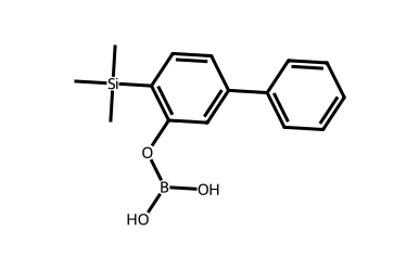 C[Si](C)(C)c1ccc(-c2ccccc2)cc1OB(O)O